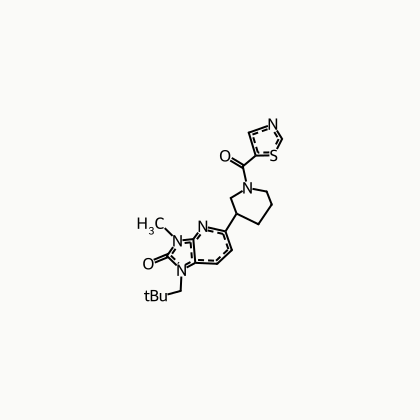 Cn1c(=O)n(CC(C)(C)C)c2ccc(C3CCCN(C(=O)c4cncs4)C3)nc21